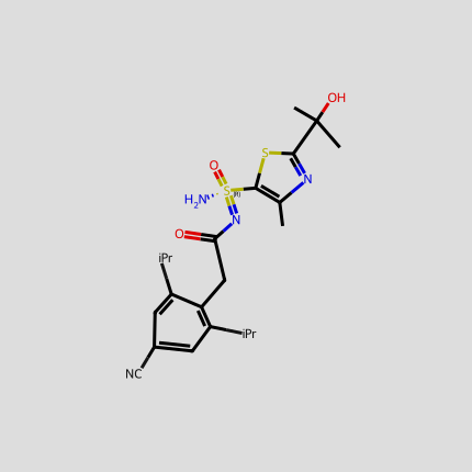 Cc1nc(C(C)(C)O)sc1[S@](N)(=O)=NC(=O)Cc1c(C(C)C)cc(C#N)cc1C(C)C